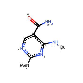 CC[C@@H](C)Nc1nc(NC)ncc1C(N)=O